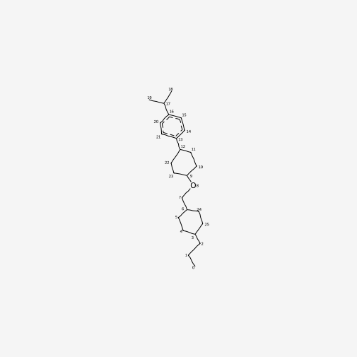 CCCC1CCC(COC2CCC(c3ccc(C(C)C)cc3)CC2)CC1